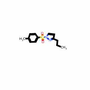 CCCc1ccn(S(=O)(=O)c2ccc(C)cc2)n1